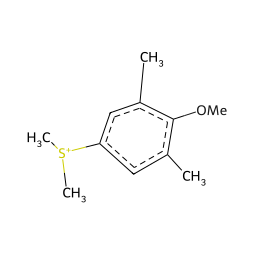 COc1c(C)cc([S+](C)C)cc1C